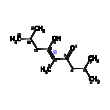 C/C(C(=O)CC(C)C)=C(/O)CC(C)C